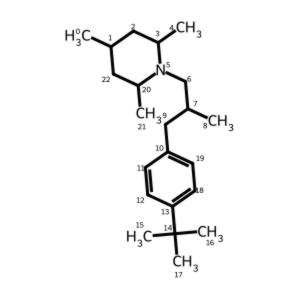 CC1CC(C)N(CC(C)Cc2ccc(C(C)(C)C)cc2)C(C)C1